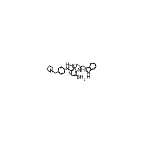 Bc1cnc(Nc2ccc(CN3CCCC3)cc2)nc1N[C@@H](CO)Cc1c[nH]c2ccccc12